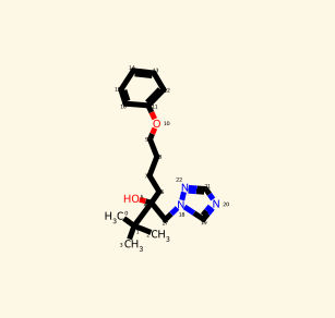 CC(C)(C)C(O)(CCCCOc1ccccc1)Cn1cncn1